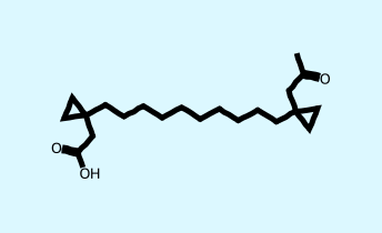 CC(=O)CC1(CCCCCCCCCCC2(CC(=O)O)CC2)CC1